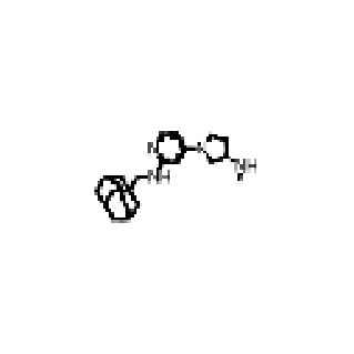 CN[C@@H]1CCN(c2ccnc(NCC34CC5CC(CC(C5)C3)C4)c2)C1